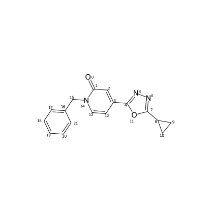 O=c1cc(-c2nnc(C3CC3)o2)ccn1Cc1ccccc1